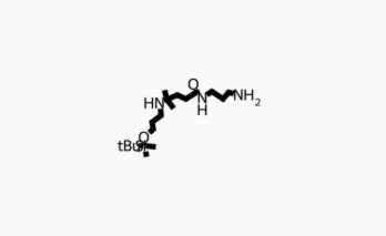 CC(C)(CCC(=O)NCCCN)NCCCO[Si](C)(C)C(C)(C)C